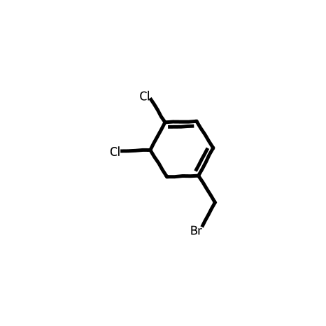 ClC1=CC=C(CBr)CC1Cl